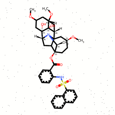 COC1C[C@]2(O)[C@H]3CC4C5(C[C@@H](OC)CC[C@@]4(OC(=O)c4ccccc4NS(=O)(=O)c4cccc6ccccc46)[C@H](C)N35)[C@H]3CC1[C@H](OC)[C@@]32O